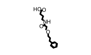 O=C(O)CCCNC(=O)CCOCCCc1ccccc1